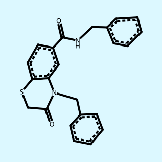 O=C(NCc1ccccc1)c1ccc2c(c1)N(Cc1ccccc1)C(=O)CS2